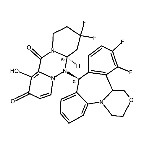 O=C1c2c(O)c(=O)ccn2N([C@@H]2c3ccccc3N3CCOCC3c3c2ccc(F)c3F)[C@@H]2CC(F)(F)CCN12